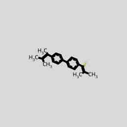 CC(C)=C(C)c1ccc(-c2ccc(C(F)=C(C)C)cc2)cc1